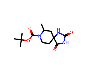 CC1CC2(CCN1C(=O)OC(C)(C)C)NC(=O)NC2=O